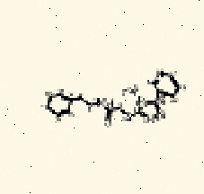 CCCn1c(SCC(=O)NCCC2=CCCC=C2)nnc1-c1cccnc1